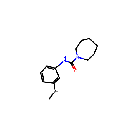 CBc1cccc(NC(=O)N2CCCCCC2)c1